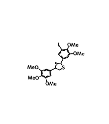 COc1cc(C2SCC(c3cc(OC)c(OC)c(OC)c3)S2)cc(I)c1OC